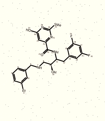 CCc1cccc(CNC[C@H](O)C(Cc2cc(F)cc(F)c2)NC(=O)c2cc(O)nc(SC)n2)c1